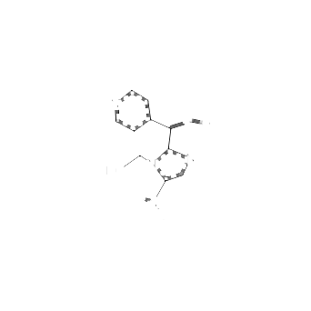 CCn1c([N+](=O)[O-])cnc1C(=S=O)c1ccncc1